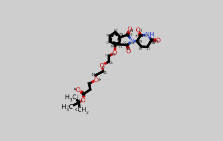 CC(C)(C)OC(=O)CCOCCOCCOc1cccc2c1C(=O)N(C1CCC(=O)NC1=O)C2=O